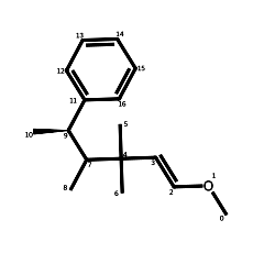 CO/C=C/C(C)(C)C(C)[C@@H](C)c1ccccc1